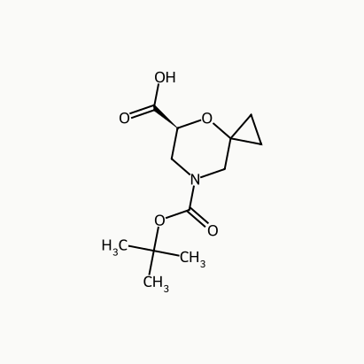 CC(C)(C)OC(=O)N1C[C@@H](C(=O)O)OC2(CC2)C1